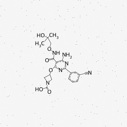 CC(C)(O)CONC(=O)c1c(N)nc(-c2cccc(C#N)c2)nc1OC1CN(C(=O)O)C1